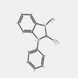 CC(C)N1c2ccccc2N(c2ccccc2)C1C